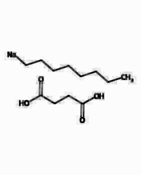 CCCCCCC[CH2][Na].O=C(O)CCC(=O)O